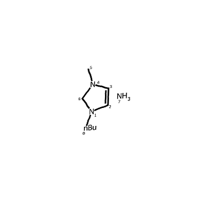 CCCCN1C=CN(C)C1.N